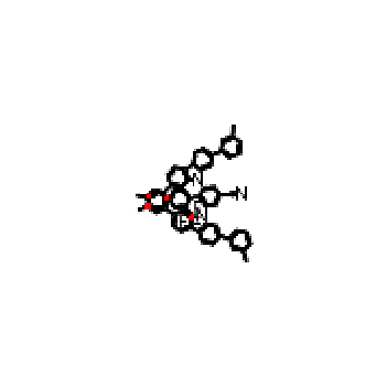 Cc1cccc(-c2ccc3c4ccc(-c5cccc(C)c5)cc4n(-c4cc(C#N)cc(-n5c6cc(-c7cccc(C)c7)ccc6c6ccc(-c7cccc(C)c7)cc65)c4-c4ccccc4C(F)(F)F)c3c2)c1